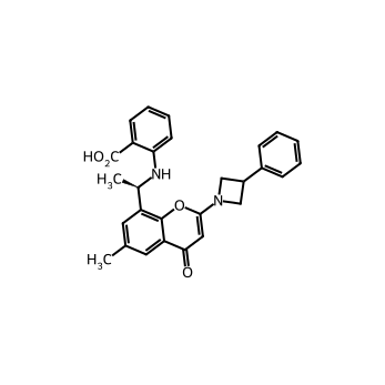 Cc1cc([C@@H](C)Nc2ccccc2C(=O)O)c2oc(N3CC(c4ccccc4)C3)cc(=O)c2c1